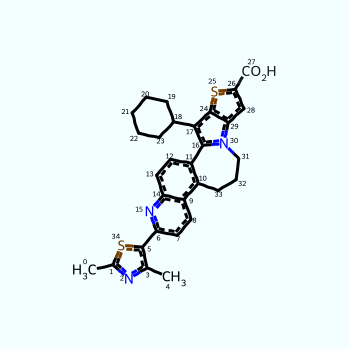 Cc1nc(C)c(-c2ccc3c4c(ccc3n2)-c2c(C3CCCCC3)c3sc(C(=O)O)cc3n2CCC4)s1